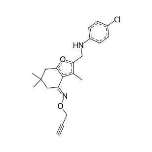 C#CCO/N=C1\CC(C)(C)Cc2oc(CNc3ccc(Cl)cc3)c(C)c21